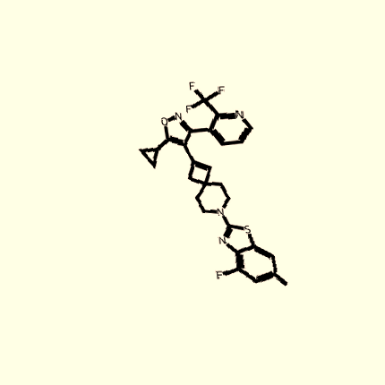 Cc1cc(F)c2nc(N3CCC4(C=C(c5c(-c6cccnc6C(F)(F)F)noc5C5CC5)C4)CC3)sc2c1